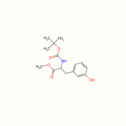 COC(=O)C(Cc1cccc(O)c1)NC(=O)OC(C)(C)C